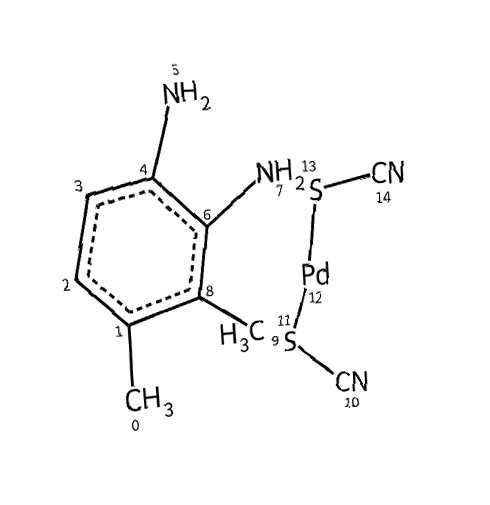 Cc1ccc(N)c(N)c1C.N#C[S][Pd][S]C#N